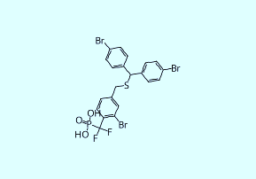 O=P(O)(O)C(F)(F)c1ccc(CSC(c2ccc(Br)cc2)c2ccc(Br)cc2)cc1Br